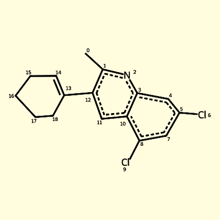 Cc1nc2cc(Cl)cc(Cl)c2cc1C1=CCCCC1